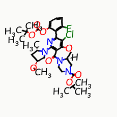 CO[C@H]1C[C@H](C)N(c2nc(-c3c(F)cccc3OC(=O)OC(C)(C)C)c(Cl)c3c2C(=O)N2CCN(C(=O)OC(C)(C)C)C[C@@H]2CO3)C1